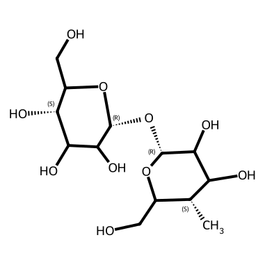 C[C@@H]1C(CO)O[C@H](O[C@H]2OC(CO)[C@@H](O)C(O)C2O)C(O)C1O